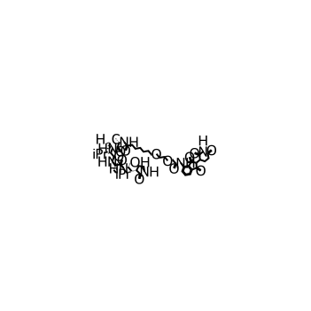 CC(C)C[C@H](NC(=O)[C@@H](NC(=O)[C@H](C)NC(=O)CCCCCCOCCOCC(=O)Nc1cccc2c1C(=O)C(C1CCC(=O)NC1=O)C2=O)C(C)C)C(=O)N[C@H](CO)C[C@@H]1CCNC1=O